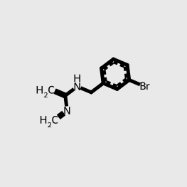 C=NC(=C)NCc1cccc(Br)c1